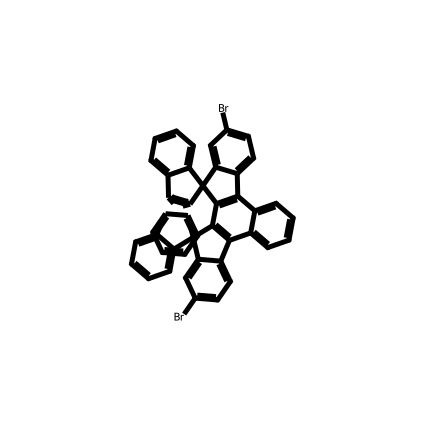 Brc1ccc2c(c1)C1(c3ccccc3-c3ccccc31)c1c3c(c4ccccc4c1-2)-c1ccc(Br)cc1C31c2ccccc2-c2ccccc21